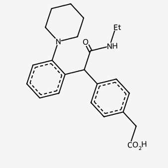 CCNC(=O)C(c1ccc(CC(=O)O)cc1)c1ccccc1N1CCCCC1